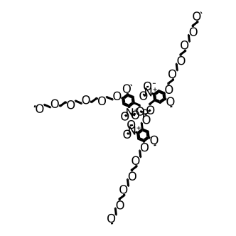 COCCOCCOCCOCCOCCOc1cc([N+](=O)[O-])c(COP(OCc2cc(OC)c(OCCOCCOCCOCCOCCOC)cc2[N+](=O)[O-])OCc2cc(OC)c(OCCOCCOCCOCCOCCOC)cc2[N+](=O)[O-])cc1OC